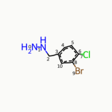 NNCc1ccc(Cl)c(Br)c1